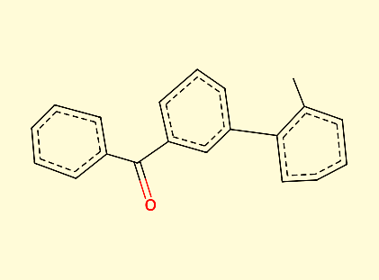 Cc1ccccc1-c1cccc(C(=O)c2ccccc2)c1